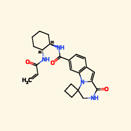 C=CC(=O)N[C@@H]1CCCC[C@H]1NC(=O)c1ccc2cc3n(c2c1)C1(CCC1)CNC3=O